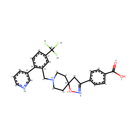 O=C(O)c1ccc(C2=NOC3(CCN(Cc4cc(C(F)(F)F)ccc4-c4cccnc4)CC3)C2)cc1